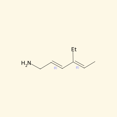 C/C=C(/C=C/CN)CC